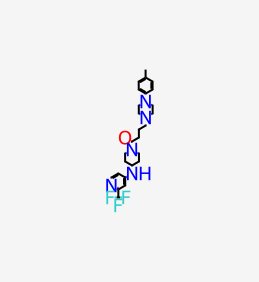 Cc1ccc(N2CCN(CCCC(=O)N3CCC(Nc4ccnc(C(F)(F)F)c4)CC3)CC2)cc1